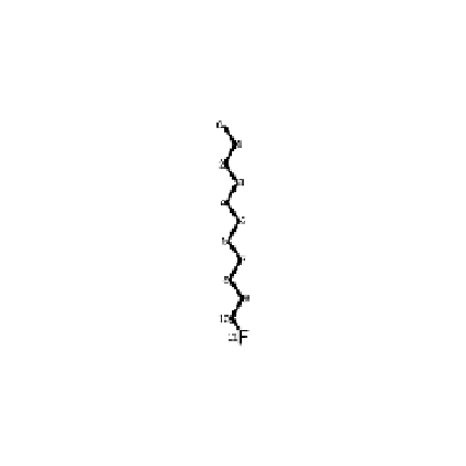 CCCCCCCCCC[CH]F